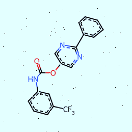 O=C(Nc1cccc(C(F)(F)F)c1)Oc1cnc(-c2ccccc2)nc1